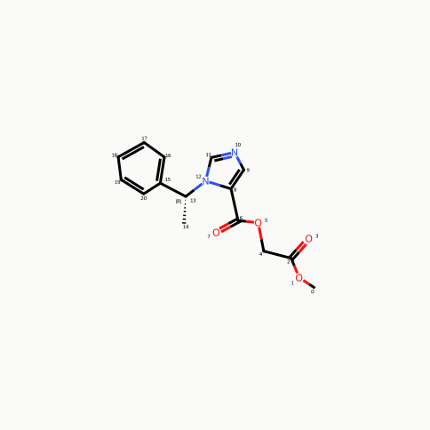 COC(=O)COC(=O)c1cncn1[C@H](C)c1ccccc1